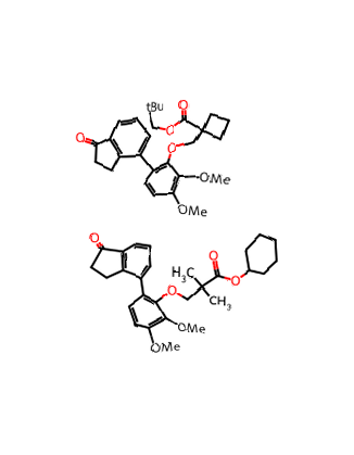 COc1ccc(-c2cccc3c2CCC3=O)c(OCC(C)(C)C(=O)OC2CCCCC2)c1OC.COc1ccc(-c2cccc3c2CCC3=O)c(OCC2(C(=O)OCC(C)(C)C)CCC2)c1OC